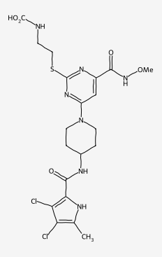 CONC(=O)c1cc(N2CCC(NC(=O)c3[nH]c(C)c(Cl)c3Cl)CC2)nc(SCCNC(=O)O)n1